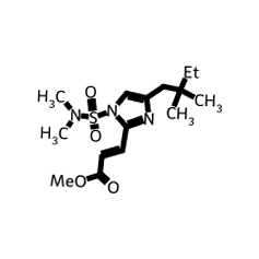 CCC(C)(C)Cc1cn(S(=O)(=O)N(C)C)c(/C=C/C(=O)OC)n1